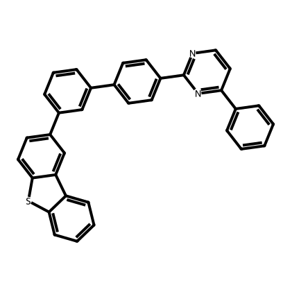 c1ccc(-c2ccnc(-c3ccc(-c4cccc(-c5ccc6sc7ccccc7c6c5)c4)cc3)n2)cc1